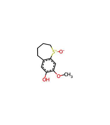 COc1cc2c(cc1O)CCCC[S+]2[O-]